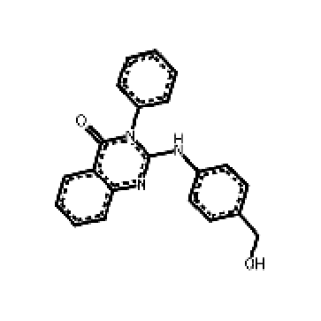 O=c1c2ccccc2nc(Nc2ccc(CO)cc2)n1-c1ccccc1